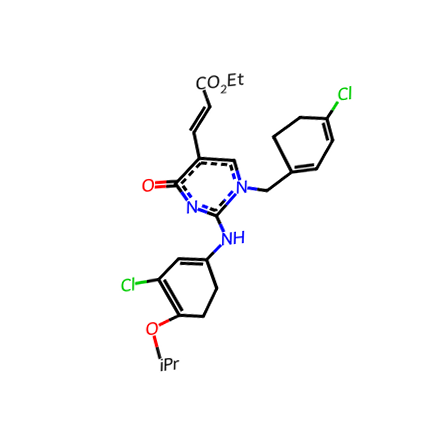 CCOC(=O)/C=C/c1cn(CC2=CC=C(Cl)CC2)c(NC2=CC(Cl)=C(OC(C)C)CC2)nc1=O